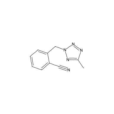 Cc1nnn(Cc2ccccc2C#N)n1